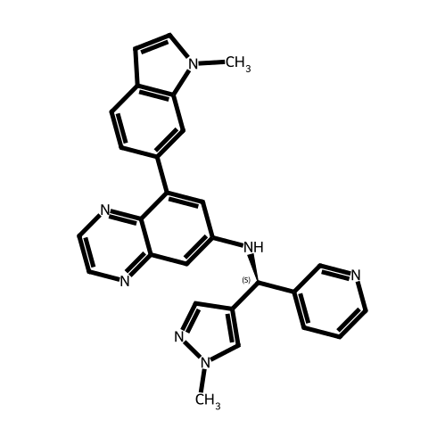 Cn1cc([C@@H](Nc2cc(-c3ccc4ccn(C)c4c3)c3nccnc3c2)c2cccnc2)cn1